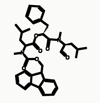 CC(C)CC(C(=O)O[C@H](Cc1ccccc1)C(=O)N(C)[C@H](C=O)CC(C)C)N(C)C(=O)OCC1c2ccccc2-c2ccccc21